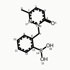 Cc1ccc(=O)n(Cc2ccccc2B(O)O)n1